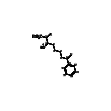 CCOC(=O)C(C)C(O)CCCCC(C)c1ccccc1